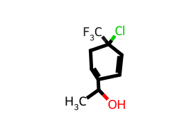 CC(O)C1=CCC(Cl)(C(F)(F)F)C=C1